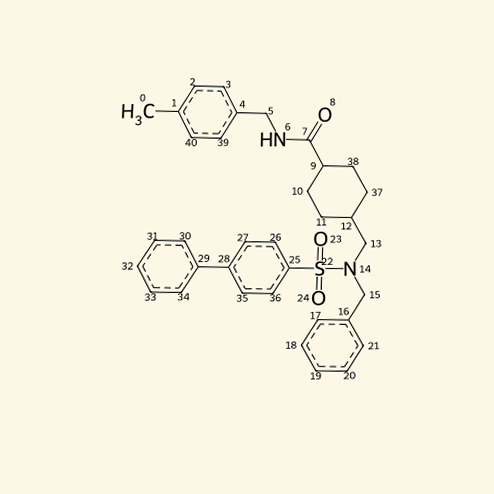 Cc1ccc(CNC(=O)C2CCC(CN(Cc3ccccc3)S(=O)(=O)c3ccc(-c4ccccc4)cc3)CC2)cc1